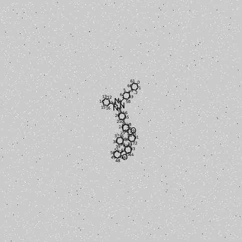 c1ccc(-c2ccc(-c3nc(-c4ccccc4)nc(-c4ccc(-c5ccc6c(c5)oc5cccc(-c7ccccc7-c7cccc8oc9ccccc9c78)c56)cc4)n3)cc2)cc1